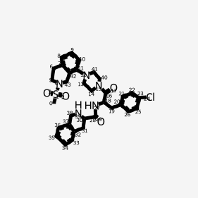 CS(=O)(=O)N1CCc2cccc(N3CCN(C(=O)C(Cc4ccc(Cl)cc4)NC(=O)C4Cc5ccccc5CN4)CC3)c2C1